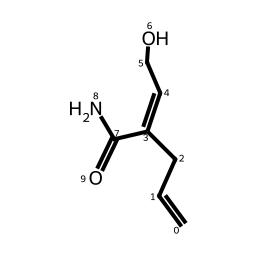 C=CCC(=CCO)C(N)=O